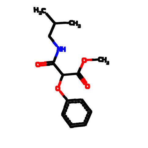 COC(=O)C(Oc1ccccc1)C(=O)NCC(C)C